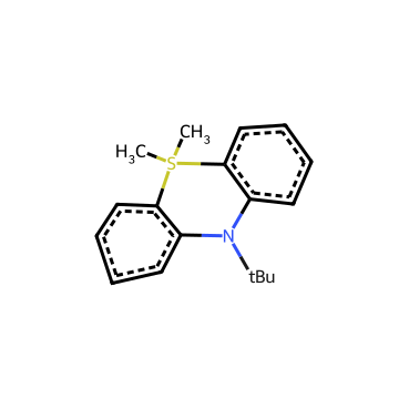 CC(C)(C)N1c2ccccc2S(C)(C)c2ccccc21